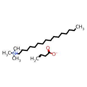 C=CCC(=O)[O-].CCCCCCCCCCCCCCCC[N+](C)(C)C